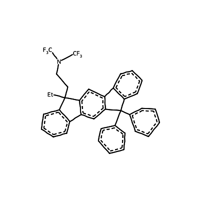 CCC1(CCN(C(F)(F)F)C(F)(F)F)c2ccccc2-c2cc3c(cc21)-c1ccccc1C3(c1ccccc1)c1ccccc1